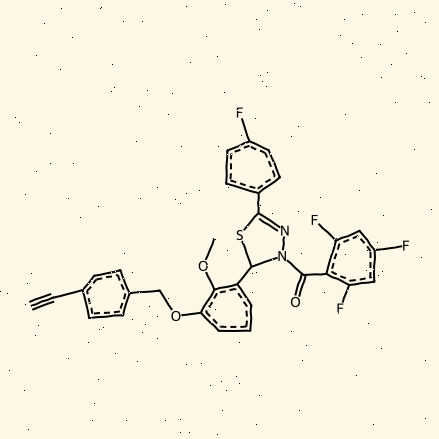 C#Cc1ccc(COc2cccc(C3SC(c4ccc(F)cc4)=NN3C(=O)c3c(F)cc(F)cc3F)c2OC)cc1